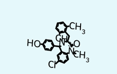 Cc1cccc(C)c1CC1N=C(c2ccc(O)cc2)c2cc(Cl)ccc2N(C)C1=O